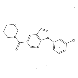 O=C(c1cnc2c(ccn2-c2cccc(Cl)c2)c1)N1CCCCC1